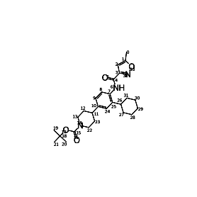 Cc1cc(C(=O)Nc2ccc(C3CCN(C(=O)OC(C)(C)C)CC3)cc2C2CCCCC2)no1